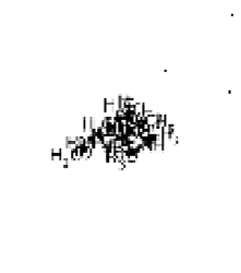 C=C(C)C(=O)NCCN(C)C.C=C(C)C(=O)NCCN(CC)CC.C=CC(=O)NCCN(C)C.C=CC(=O)NCCN(CC)CC